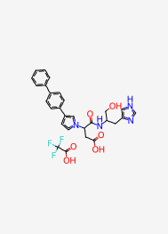 O=C(O)C(F)(F)F.O=C(O)CC(C(=O)NC(CO)Cc1c[nH]cn1)n1ccc(-c2ccc(-c3ccccc3)cc2)c1